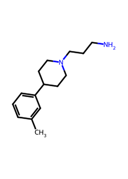 Cc1cccc(C2CCN(CCCN)CC2)c1